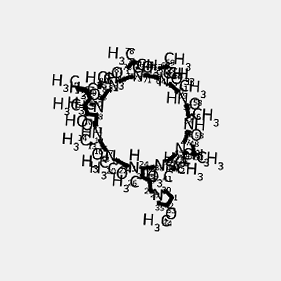 C/C=C/C[C@@H](C)[C@@H](O)[C@H]1C(=O)N[C@@H](CC)C(=O)N(C)[C@H](C)C(=O)N[C@@H]([C@H](C)CCN2CC[C@H](OC)C2)C(=O)N[C@@H](C(C)C)C(=O)N(C)[C@@H](CC(C)C)C(=O)N[C@@H](C)C(=O)N[C@H](C)C(=O)N(C)[C@@H](CC(C)C)C(=O)N(C)[C@@H](CC(C)C)C(=O)N(C)[C@@H](C(C)C)C(=O)N1C